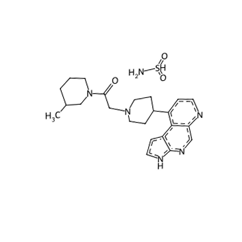 CC1CCCN(C(=O)CN2CCC(c3ccnc4cnc5[nH]ccc5c34)CC2)C1.N[SH](=O)=O